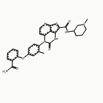 Cc1cc(Oc2ccccc2C(N)=O)ccc1N1C(=O)Nc2c(C(=O)NC3CCCN(C)C3)sc3nccc1c23